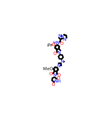 COc1cc(N2CC(N(C)[C@H]3CC[C@H](N4Cc5cc(NC(=O)c6cnn7cccnc67)c(OC(C)C)cc5C4=O)CC3)C2)cc2c1C(=O)N(C1CCC(=O)NC1=O)C2=O